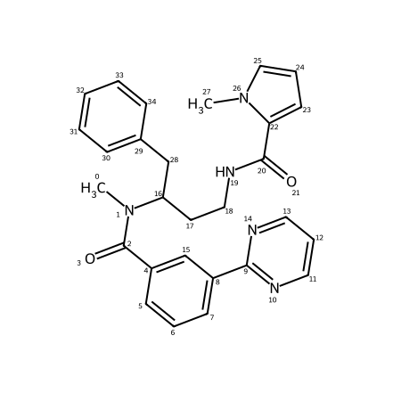 CN(C(=O)c1cccc(-c2ncccn2)c1)C(CCNC(=O)c1cccn1C)Cc1ccccc1